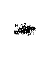 Cc1c(C)c2c(c3c1-c1ccc(-c4ccco4)cc1C3(C)C)C(C)(C)c1cc(C3CC=CO3)ccc1-2